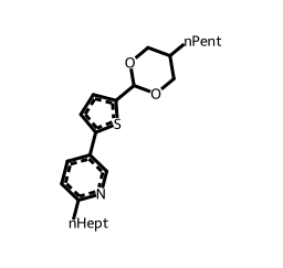 CCCCCCCc1ccc(-c2ccc(C3OCC(CCCCC)CO3)s2)cn1